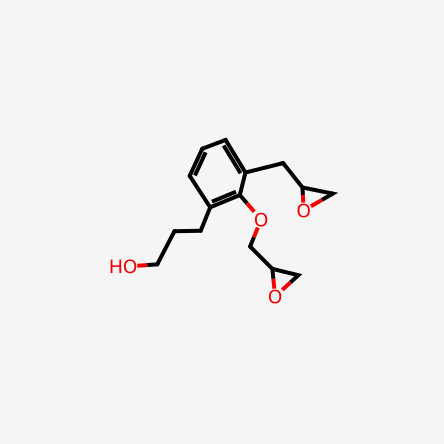 OCCCc1cccc(CC2CO2)c1OCC1CO1